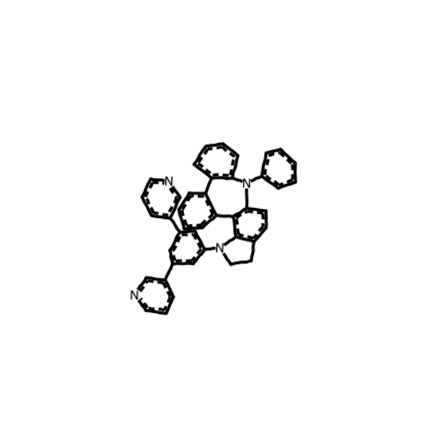 c1ccc(N2c3ccccc3-c3ccccc3-c3c2ccc2c3N(c3cc(-c4cccnc4)cc(-c4cccnc4)c3)CC2)cc1